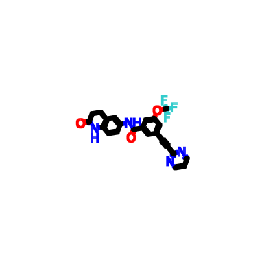 O=C1CCc2cc(NC(=O)c3cc(C#Cc4ncccn4)cc(OC(F)(F)F)c3)ccc2N1